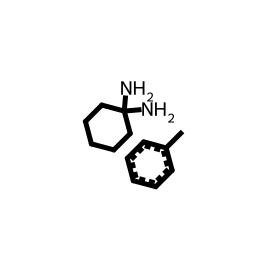 Cc1ccccc1.NC1(N)CCCCC1